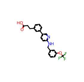 O=C(O)CCc1cccc(-c2ccc(NCc3cccc(OC(F)(F)F)c3)nc2)c1